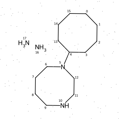 C1CCCC(N2CCCCNCC2)CCC1.N.N